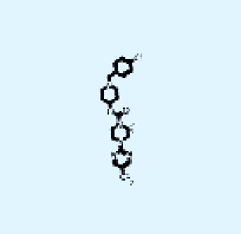 C[C@@H]1CN(c2ncc(C(F)(F)F)cn2)CCN1C(=O)OC1CCN(Cc2ccc(Cl)cc2)CC1